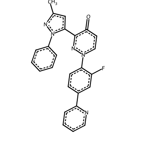 Cc1cc(-c2nn(-c3ccc(-c4ccccn4)cc3F)ccc2=O)n(-c2ccccc2)n1